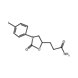 NC(=O)CCC1CN(c2ccc(I)cc2)C(=O)O1